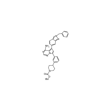 CC(C)(C)OC(=O)N1CCC(c2cccc(-c3cc(-c4ccc5cn(Cc6ccccc6)nc5c4)c4c(N)ncnn34)c2)CC1